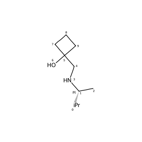 CC(C)[C@@H](C)NCC1(O)CCC1